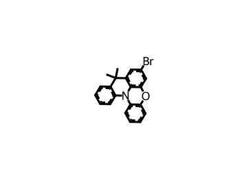 CC1(C)c2ccccc2N2c3ccccc3Oc3cc(Br)cc1c32